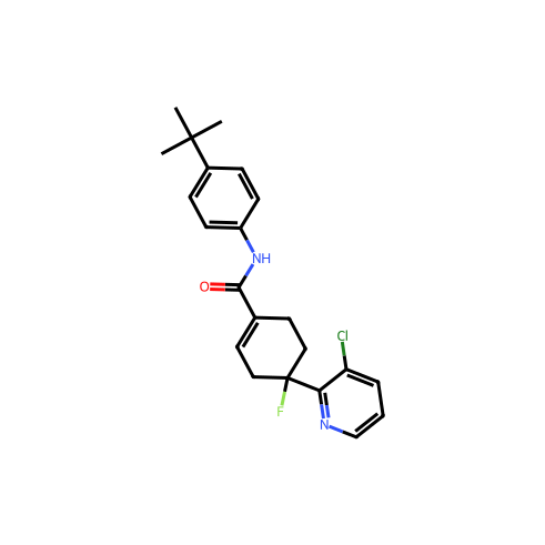 CC(C)(C)c1ccc(NC(=O)C2=CCC(F)(c3ncccc3Cl)CC2)cc1